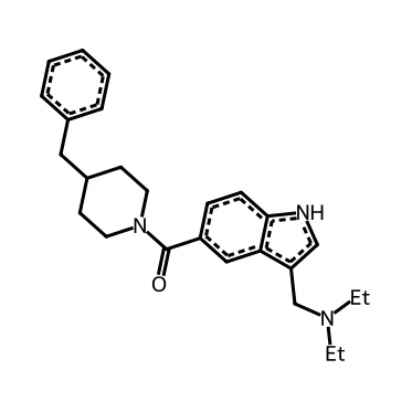 CCN(CC)Cc1c[nH]c2ccc(C(=O)N3CCC(Cc4ccccc4)CC3)cc12